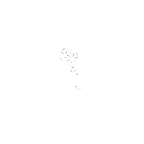 COCCN(CCOC)C(=O)OCCOC(=O)c1ccc(NC(=O)[C@@H]2N[C@@H](CC(C)(C)C)[C@](C#N)(c3ccc(Cl)cc3F)[C@H]2c2cccc(Cl)c2F)c(OC)c1